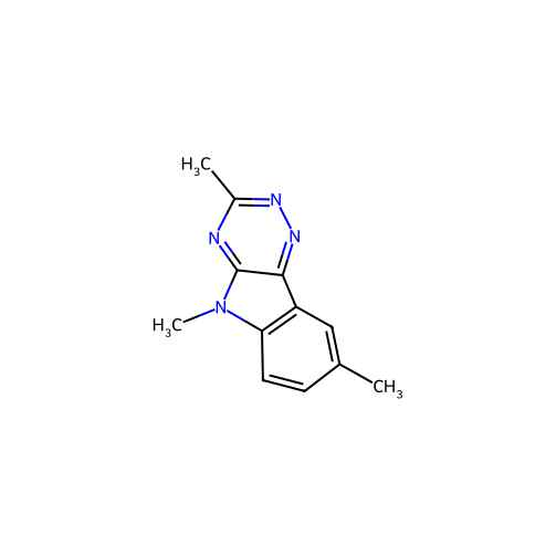 Cc1ccc2c(c1)c1nnc(C)nc1n2C